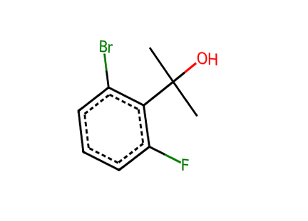 CC(C)(O)c1c(F)cccc1Br